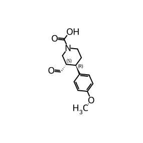 COc1ccc([C@@H]2CCN(C(=O)O)C[C@H]2C=O)cc1